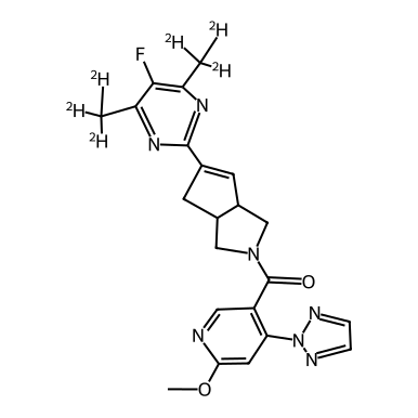 [2H]C([2H])([2H])c1nc(C2=CC3CN(C(=O)c4cnc(OC)cc4-n4nccn4)CC3C2)nc(C([2H])([2H])[2H])c1F